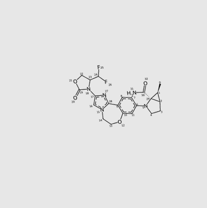 C[C@H]1C2CCN(c3ccc4c(c3)OCCn3cc(N5C(=O)OCC5C(F)F)nc3-4)[C@]21C(N)=O